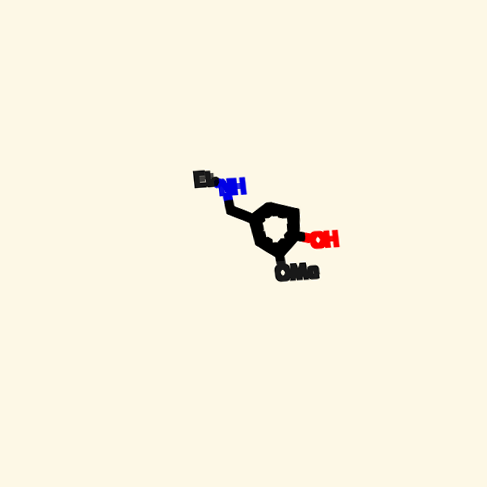 CCNCc1ccc(O)c(OC)c1